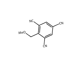 COCc1c(C#N)cc(C#N)cc1C#N